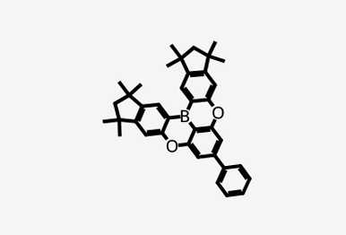 CC1(C)CC(C)(C)c2cc3c(cc21)Oc1cc(-c2ccccc2)cc2c1B3c1cc3c(cc1O2)C(C)(C)CC3(C)C